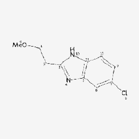 COC[CH]c1nc2cc(Cl)ccc2[nH]1